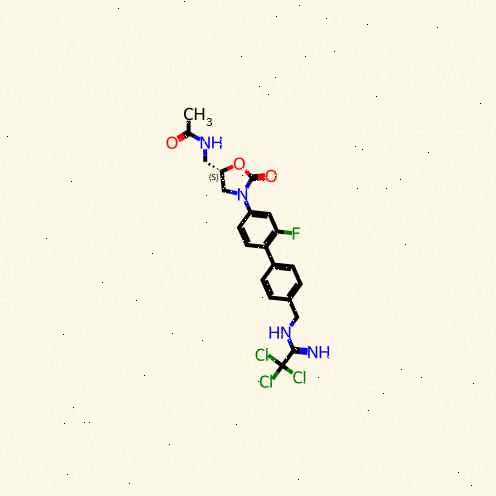 CC(=O)NC[C@H]1CN(c2ccc(-c3ccc(CNC(=N)C(Cl)(Cl)Cl)cc3)c(F)c2)C(=O)O1